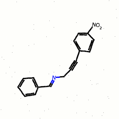 O=[N+]([O-])c1ccc(C#CC/N=C/c2ccccc2)cc1